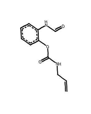 C=CCNC(=O)Oc1ccccc1NC=O